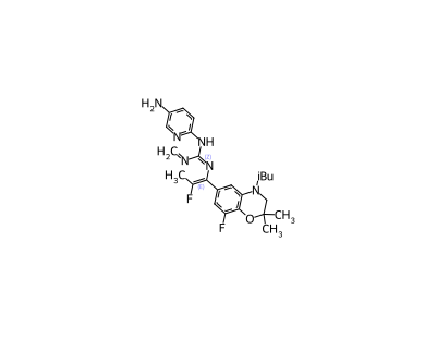 C=N/C(=N\C(=C(/C)F)c1cc(F)c2c(c1)N(C(C)CC)CC(C)(C)O2)Nc1ccc(N)cn1